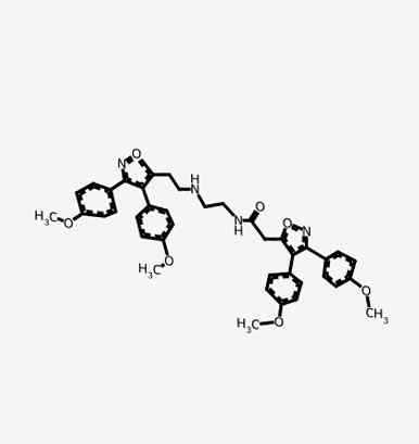 COc1ccc(-c2noc(CCNCCNC(=O)Cc3onc(-c4ccc(OC)cc4)c3-c3ccc(OC)cc3)c2-c2ccc(OC)cc2)cc1